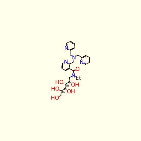 CCN(C[C@H](O)[C@@H](O)[C@H](O)[C@H](O)CO)C(=O)c1cccnc1CN(Cc1ccccn1)Cc1ccccn1